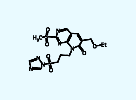 CCOCc1cc2cnc(S(C)(=O)=O)nc2n(CCCS(=O)(=O)n2cncn2)c1=O